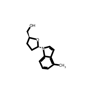 Cc1cccc2c1ccn2[C@@H]1CC[C@@H](CO)O1